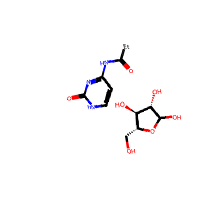 CCC(=O)Nc1cc[nH]c(=O)n1.OC[C@H]1OC(O)[C@@H](O)[C@@H]1O